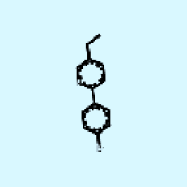 CCc1ccc(-c2ccc(Br)cc2)nc1